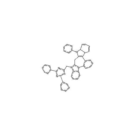 C1=CC2C3=C(Cc4c(c5ccccc5n4Cc4nc(-c5ccccc5)nc(-c5ccccc5)n4)-c4ccccc43)N(c3ccccc3)C2C=C1